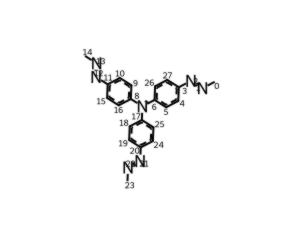 CN=Nc1ccc(N(c2ccc(N=NC)cc2)c2ccc(N=NC)cc2)cc1